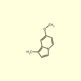 COc1ccn2ccc(C)c2c1